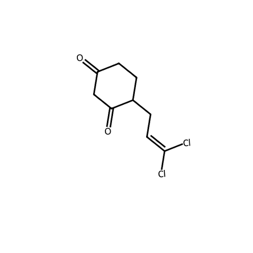 O=C1CCC(CC=C(Cl)Cl)C(=O)C1